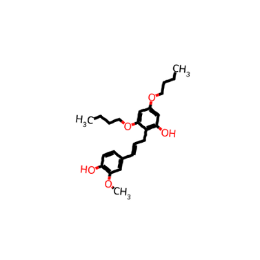 CCCCOc1cc(O)c(C/C=C/c2ccc(O)c(OC)c2)c(OCCCC)c1